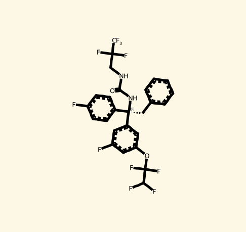 O=C(NCC(F)(F)C(F)(F)F)N[C@](Cc1ccccc1)(c1ccc(F)cc1)c1cc(F)cc(OC(F)(F)C(F)F)c1